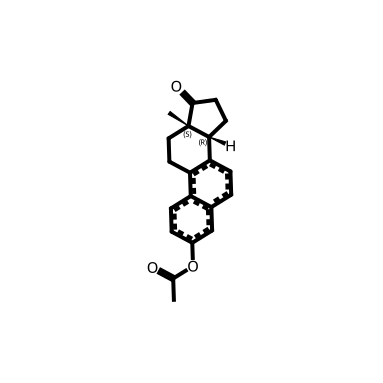 CC(=O)Oc1ccc2c3c(ccc2c1)[C@H]1CCC(=O)[C@@]1(C)CC3